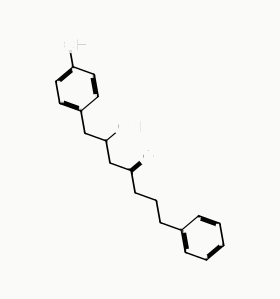 O=C(CCCc1ccccc1)CC(O)Cc1ccc(O)cc1